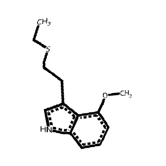 CCSCCc1c[nH]c2cccc(OC)c12